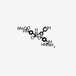 COC(=O)Nc1ccc(-c2[nH]c([C@@H]3CC(C4CCNCC4)CN3C(=O)c3ccc(NC(=N)N)cc3)nc2Cl)cc1